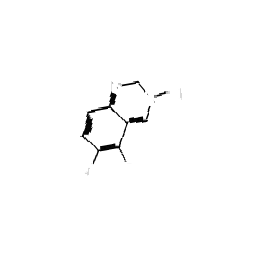 Fc1c(Br)ccc2c1=CN(Cl)CN=2